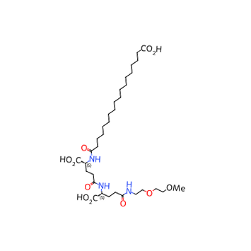 COCCOCCNC(=O)CC[C@H](NC(=O)CC[C@H](NC(=O)CCCCCCCCCCCCCCCCC(=O)O)C(=O)O)C(=O)O